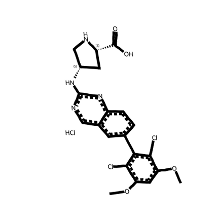 COc1cc(OC)c(Cl)c(-c2ccc3nc(N[C@@H]4CN[C@H](C(=O)O)C4)ncc3c2)c1Cl.Cl